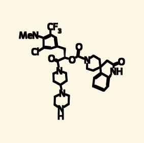 CNc1c(Cl)cc(C[C@@H](OC(=O)N2CCC3(CC2)CC(=O)Nc2ccccc23)C(=O)N2CCC(N3CCNCC3)CC2)cc1C(F)(F)F